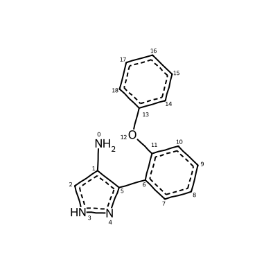 Nc1c[nH]nc1-c1ccccc1Oc1ccccc1